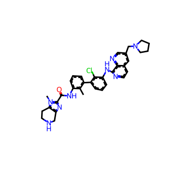 Cc1c(NC(=O)c2nc3c(n2C)CCNC3)cccc1-c1cccc(Nc2nccc3cc(CN4CCCC4)cnc23)c1Cl